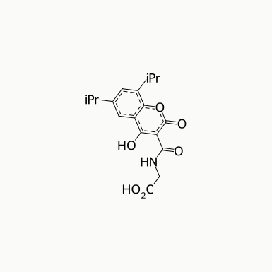 CC(C)c1cc(C(C)C)c2oc(=O)c(C(=O)NCC(=O)O)c(O)c2c1